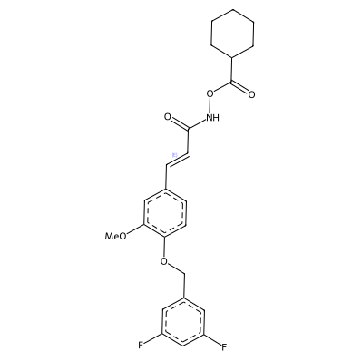 COc1cc(/C=C/C(=O)NOC(=O)C2CCCCC2)ccc1OCc1cc(F)cc(F)c1